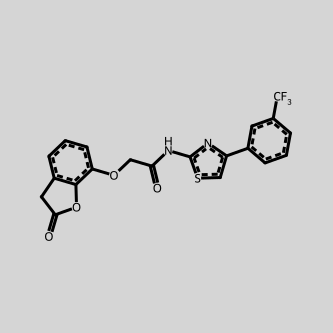 O=C(COc1cccc2c1OC(=O)C2)Nc1nc(-c2cccc(C(F)(F)F)c2)cs1